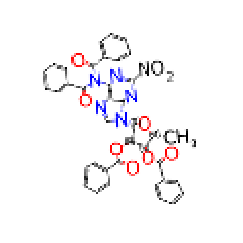 C[C@H]1O[C@@H](n2cnc3c(N(C(=O)c4ccccc4)C(=O)c4ccccc4)nc([N+](=O)[O-])nc32)[C@H](OC(=O)c2ccccc2)[C@@H]1OC(=O)c1ccccc1